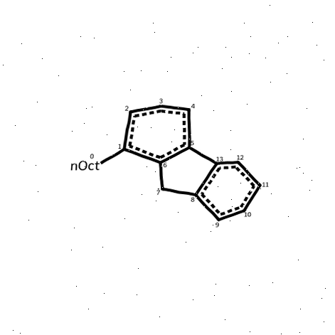 CCCCCCCCc1cccc2c1[CH]c1ccccc1-2